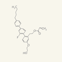 C=CC(=O)OCCc1cc(OCCO)ccc1-c1ccc(-c2ccc(CCCCC)cc2)cc1F